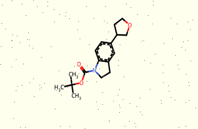 CC(C)(C)OC(=O)N1CCc2cc(C3CCOC3)ccc21